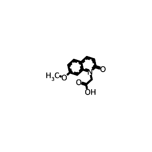 COc1ccc2ccc(=O)n(CC(=O)O)c2c1